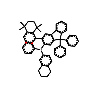 Cc1ccc2c(c1-c1cc3c(cc1N(c1ccccc1)c1ccc4c(c1)CCCC4)C(c1ccccc1)(c1ccccc1)c1ccccc1-3)C(C)(C)CCC2(C)C